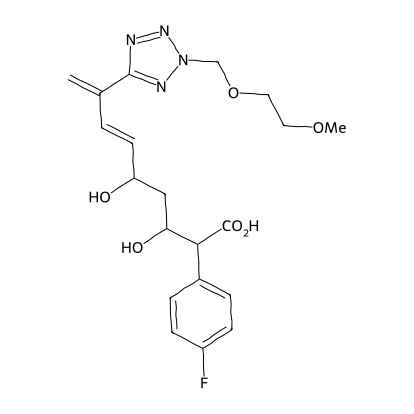 C=C(C=CC(O)CC(O)C(C(=O)O)c1ccc(F)cc1)c1nnn(COCCOC)n1